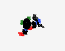 Cc1nnc(C)n1-c1ccc(O[C@@H]2c3cc(Cl)cc(Cl)c3C[C@@H]2N2CC[C@@H](O)C2)cc1